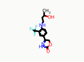 CC(O)CCNc1ccc(C2=NNC(=O)OC2)cc1C(F)(F)F